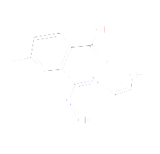 C=N/C(=N\C=C/C)c1cc(F)ccc1C(=O)O